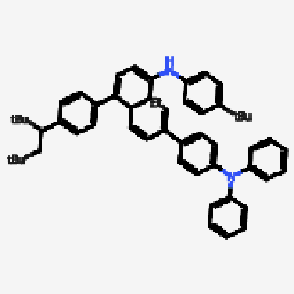 CC/C=C(\C=C/C1CC(Nc2ccc(C(C)(C)C)cc2)=CC=C1c1ccc(C(CC(C)(C)C)C(C)(C)C)cc1)c1ccc(N(c2ccccc2)c2ccccc2)cc1